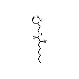 CCCCCCC(Br)C(=O)OCCc1ccccn1